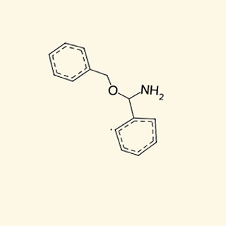 NC(OCc1ccccc1)c1[c]cccc1